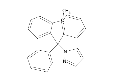 COc1ccccc1C(c1ccccc1)(c1ccccc1)n1cccn1